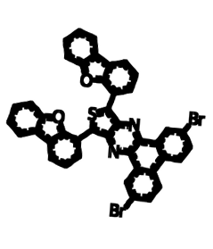 Brc1ccc2c3ccc(Br)cc3c3nc4c(-c5cccc6c5oc5ccccc56)sc(-c5cccc6c5oc5ccccc56)c4nc3c2c1